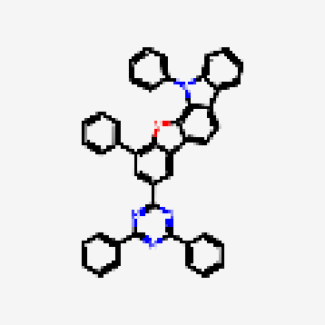 c1ccc(-c2nc(-c3ccccc3)nc(-c3cc(-c4ccccc4)c4oc5c(ccc6c7ccccc7n(-c7ccccc7)c65)c4c3)n2)cc1